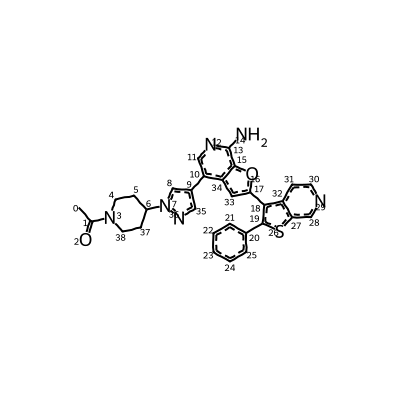 CC(=O)N1CCC(n2cc(-c3cnc(N)c4oc(-c5c(-c6ccccc6)sc6cnccc56)cc34)cn2)CC1